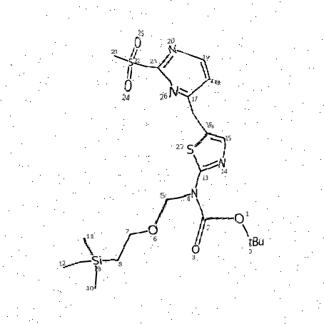 CC(C)(C)OC(=O)N(COCC[Si](C)(C)C)c1ncc(-c2ccnc(S(C)(=O)=O)n2)s1